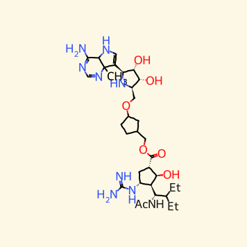 CCC(CC)[C@H](NC(C)=O)[C@@H]1[C@H](O)[C@@H](C(=O)OCC2CCC(OC[C@H]3N[C@@H](C4=CNC5C(N)=NC=NC45C)[C@H](O)[C@@H]3O)C2)C[C@H]1NC(=N)N